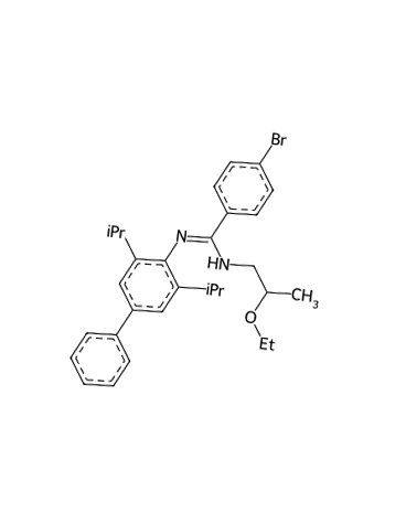 CCOC(C)CNC(=Nc1c(C(C)C)cc(-c2ccccc2)cc1C(C)C)c1ccc(Br)cc1